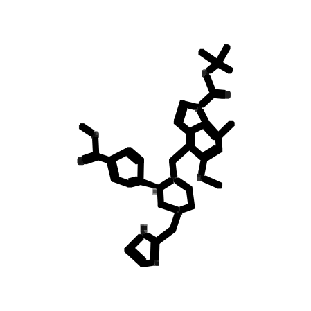 COC(=O)c1ccc([C@@H]2CN(Cc3ncc[nH]3)CCN2Cc2c(OC)cc(C)c3c2ccn3C(=O)OC(C)(C)C)cc1